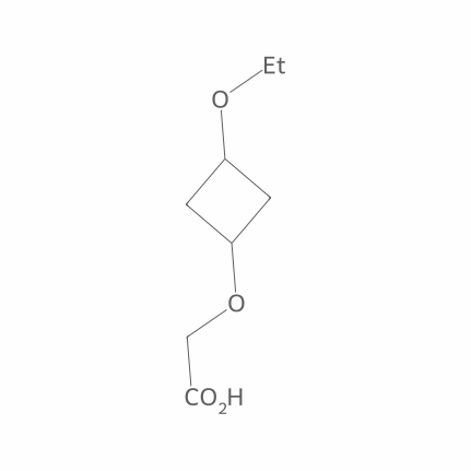 CCOC1CC(OCC(=O)O)C1